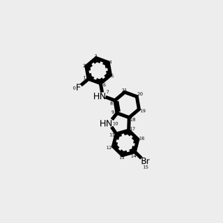 Fc1ccccc1NC1=C2Nc3ccc(Br)cc3C2CCC1